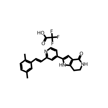 Cc1ccc(C)c(C=Cc2cc(-c3cc4c([nH]3)CCNC4=O)ccn2)c1.O=C(O)C(F)(F)F